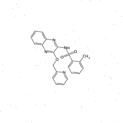 Cc1ccccc1S(=O)(=O)Nc1nc2ccccc2nc1OCc1ccccn1